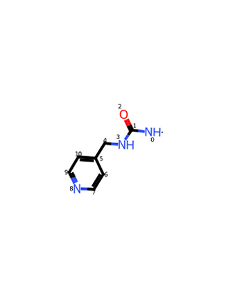 [NH]C(=O)NCc1ccncc1